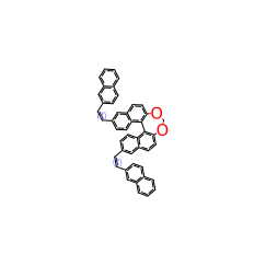 C(=C/c1ccc2c3c(ccc2c1)OCOc1ccc2cc(/C=C\c4ccc5ccccc5c4)ccc2c1-3)/c1ccc2ccccc2c1